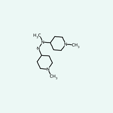 CN1CCC([N]N(C)C2CCN(C)CC2)CC1